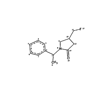 CC(c1ccccc1)N1CC(CF)CC1=O